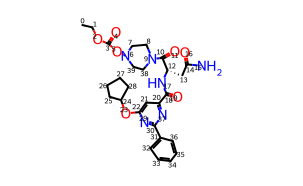 CCOC(=O)ON1CCN(C(=O)[C@H](CC(N)=O)NC(=O)c2cc(OC3CCCC3)nc(-c3ccccc3)n2)CC1